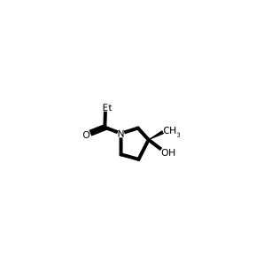 CCC(=O)N1CC[C@@](C)(O)C1